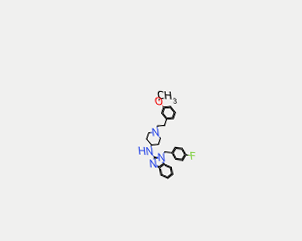 COc1cccc(CCN2CCC(Nc3nc4ccccc4n3Cc3ccc(F)cc3)CC2)c1